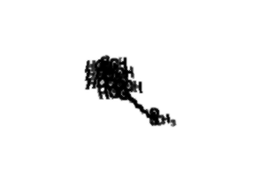 COC(=O)CCCCCCCCO[C@@H]1[C@@H](O)[C@H](O[C@@H]2O[C@H](CO)[C@H](OP(=O)(O)O)[C@H](O)[C@H]2O)[C@@H](CO)O[C@H]1O